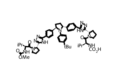 COC(=O)N[C@H](C(=O)N1CCC[C@H]1c1nnc(-c2ccc([C@H]3CC[C@H](c4ccc(-c5nnc([C@@H]6CCCN6C(=O)[C@@H](NC(=O)O)C(C)C)[nH]5)cc4)N3c3ccc(C(C)(C)C)cc3)cc2)[nH]1)C(C)C